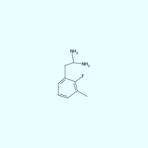 Cc1cccc(CC(N)N)c1F